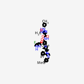 COc1ccc(CN2CCN(C3CC4(CCN(c5ccc(C(=O)NC(=O)C(=O)c6cnc(NC[C@H]7CC[C@@H](C)CC7)c([NH+](C)[O-])c6)c(Oc6cc7c(F)c[nH]c7nc6OC)c5)C5CC54)C3)C(c3ccccc3C(C)C)C2)cc1